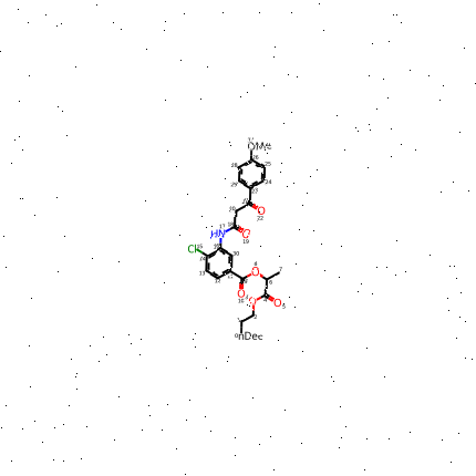 CCCCCCCCCCCCOC(=O)C(C)OC(=O)c1ccc(Cl)c(NC(=O)CC(=O)c2ccc(OC)cc2)c1